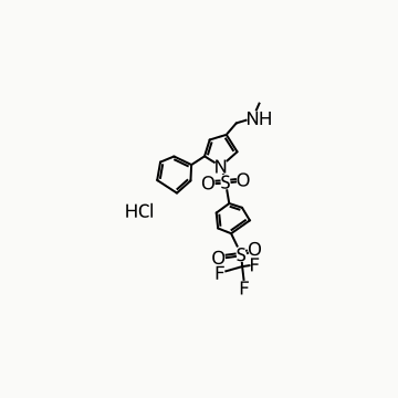 CNCc1cc(-c2ccccc2)n(S(=O)(=O)c2ccc(S(=O)(=O)C(F)(F)F)cc2)c1.Cl